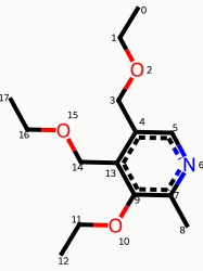 CCOCc1cnc(C)c(OCC)c1COCC